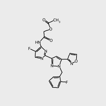 CC(=O)OCC(=O)Nc1nc(-c2cc(-c3ccon3)n(Cc3ccccc3F)n2)ncc1F